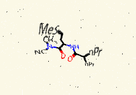 CCCC(CCC)C(=O)NC(CSC)C(=O)N(C)C#N